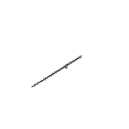 CCCCCCCCCCCCCCCCCCCCCCCCCCCCCCCCCCCCC(=O)OCCCCCCCCCCCCCCCC